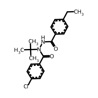 CCc1ccc(C(=O)NN(C(=O)c2ccc(Cl)cc2)C(C)(C)C)cc1